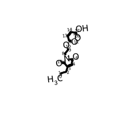 CCCC1=CC(=O)N(CCOC(=O)/C=C\C(=O)O)C1=O